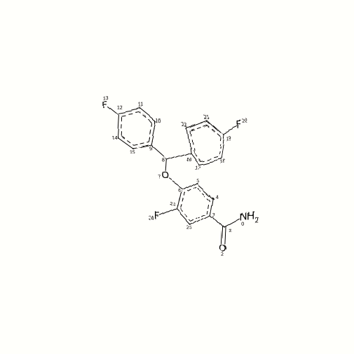 NC(=O)c1ccc(OC(c2ccc(F)cc2)c2ccc(F)cc2)c(F)c1